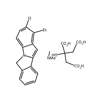 CCc1c(Cl)ccc2c1cc1n2Cc2ccccc2-1.CNC.O=C(O)CC(O)(CC(=O)O)C(=O)O